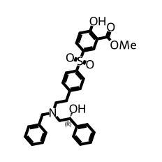 COC(=O)c1cc(S(=O)(=O)c2ccc(CCN(Cc3ccccc3)C[C@H](O)c3ccccc3)cc2)ccc1O